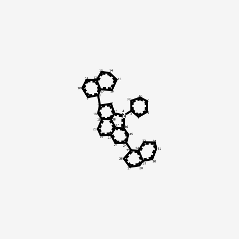 c1ccc(-n2c3cc(-c4cccc5ccccc45)cc4ccc5cc(-c6cccc7ccccc67)cc2c5c43)cc1